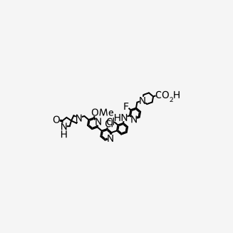 COc1nc(-c2ccnc(-c3cccc(Nc4nccc(CN5CCC(C(=O)O)CC5)c4F)c3Cl)c2Cl)ccc1CN1CC2(CNC(=O)C2)C1